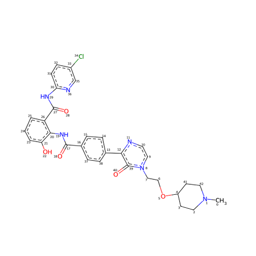 CN1CCC(OCCn2ccnc(-c3ccc(C(=O)Nc4c(O)cccc4C(=O)Nc4ccc(Cl)cn4)cc3)c2=O)CC1